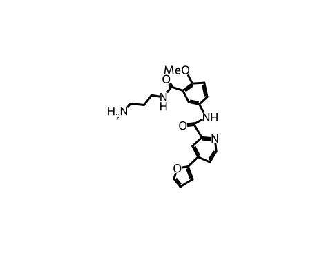 COc1ccc(NC(=O)c2cc(-c3ccco3)ccn2)cc1C(=O)NCCCN